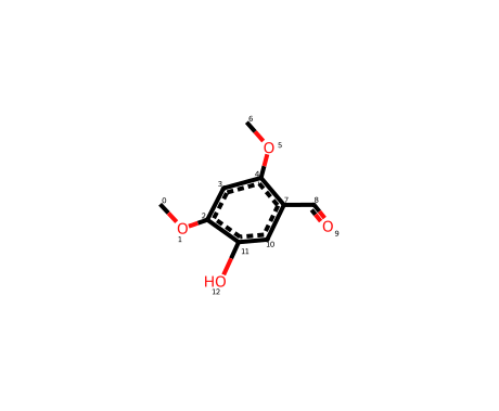 COc1cc(OC)c(C=O)cc1O